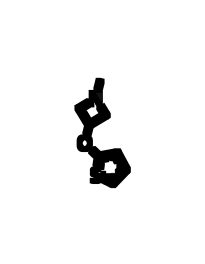 CN1CC(Oc2cccs2)C1